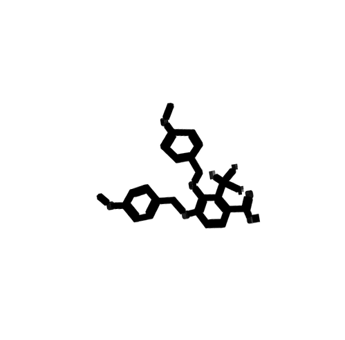 COc1ccc(COc2ccc(C(=O)O)c(C(F)(F)F)c2OCc2ccc(OC)cc2)cc1